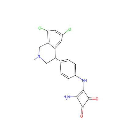 CN1Cc2c(Cl)cc(Cl)cc2C(c2ccc(Nc3c(N)c(=O)c3=O)cc2)C1